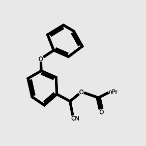 CCCC(=O)OC(C#N)c1cccc(Oc2ccccc2)c1